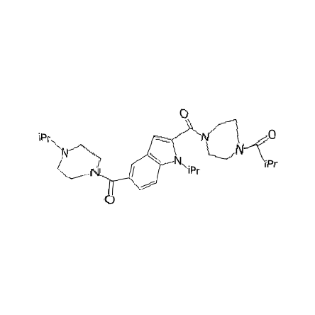 CC(C)C(=O)N1CCN(C(=O)c2cc3cc(C(=O)N4CCN(C(C)C)CC4)ccc3n2C(C)C)CC1